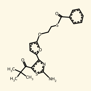 CC(C)(C)C(=O)c1sc(N)nc1-c1ccc(OCCSC(=O)c2ccccc2)o1